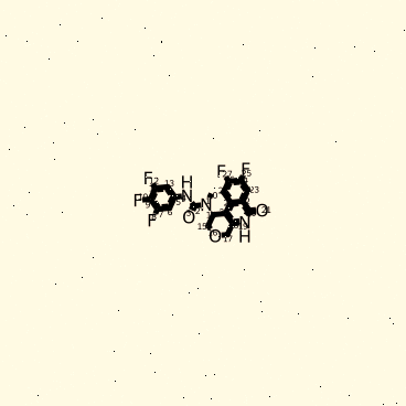 CN(C(=O)Nc1cc(F)c(F)c(F)c1)[C@H]1COCc2[nH]c(=O)c3cc(F)c(F)cc3c21